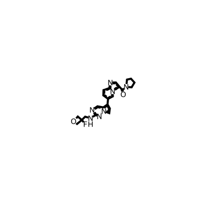 O=C(c1cnc2ccc(-c3ccn4nc(NCC5(F)COC5)ncc34)cn12)N1CCCC1